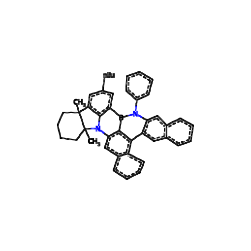 CCCCc1cc2c3c(c1)C1(C)CCCCC1(C)N3c1cc3ccccc3c3c1B2N(c1ccccc1)c1cc2ccccc2cc1-3